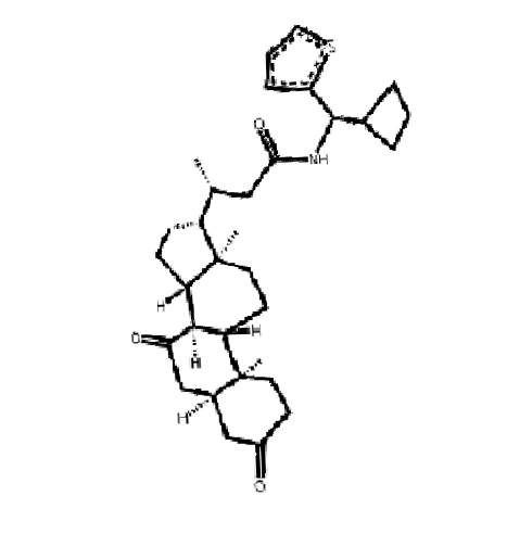 C[C@H](CC(=O)NC(c1cccs1)C1CCC1)[C@H]1CC[C@H]2[C@@H]3C(=O)C[C@@H]4CC(=O)CC[C@]4(C)[C@H]3CC[C@]12C